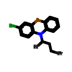 CCC(CCC(C)C)N1c2ccccc2Sc2cc(Br)ccc21